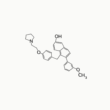 COc1cccc(-c2ccc3cc(O)ccc3c2Cc2ccc(OCCN3CCCC3)cc2)c1